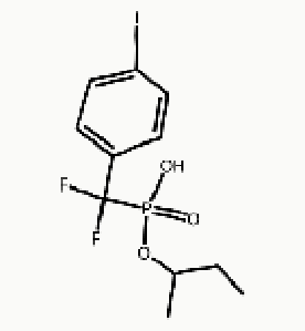 CCC(C)OP(=O)(O)C(F)(F)c1ccc(I)cc1